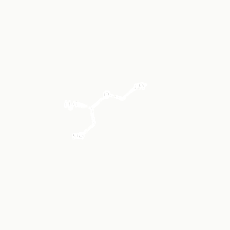 CCCCO[C@@H](C)CO